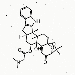 CN(C)CC(=O)O[C@H]1C[C@H]2Cc3c([nH]c4ccccc34)[C@]2(C)C2(C)CC[C@@]34OC(C(=O)C=C3[C@]12O)C(C)(C)O4